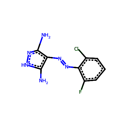 Nc1n[nH]c(N)c1N=Nc1c(F)cccc1Cl